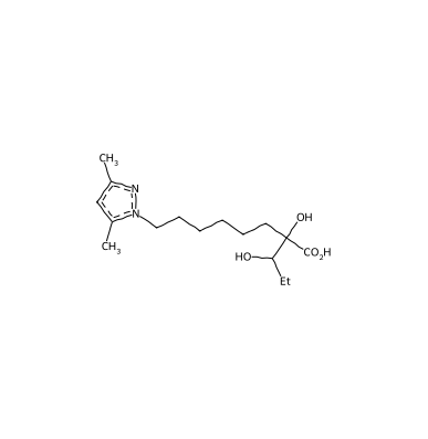 CCC(O)C(O)(CCCCCCn1nc(C)cc1C)C(=O)O